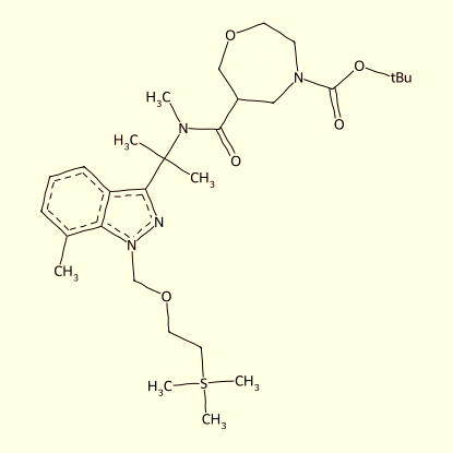 Cc1cccc2c(C(C)(C)N(C)C(=O)C3COCCN(C(=O)OC(C)(C)C)C3)nn(COCCS(C)(C)C)c12